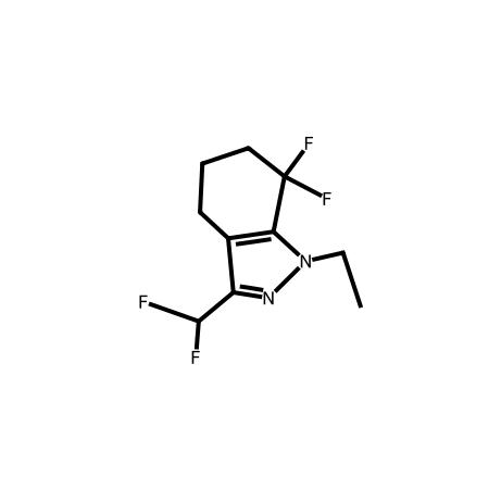 CCn1nc(C(F)F)c2c1C(F)(F)CCC2